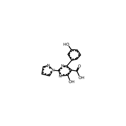 O=C(O)c1c(O)nc(-n2cccn2)nc1-c1cccc(O)c1